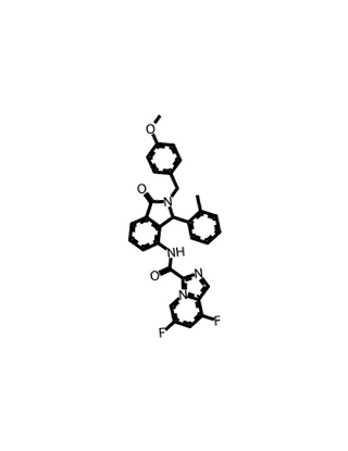 COc1ccc(CN2C(=O)c3cccc(NC(=O)c4ncc5c(F)cc(F)cn45)c3C2c2ccccc2C)cc1